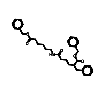 O=C(CCCC(Cc1ccccc1)C(=O)OCc1ccccc1)NCCCCCC(=O)OCc1ccccc1